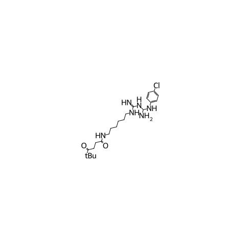 CC(C)(C)C(=O)CCC(=O)NCCCCCCNC(=N)NC(N)Nc1ccc(Cl)cc1